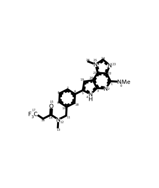 CNc1nc2[nH]c(-c3cccc(CN(C)C(=O)CC(F)(F)F)c3)cc2c2c1ncn2C